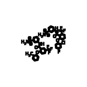 Cc1ccccc1Oc1ccc(C(F)(F)F)cc1C(=O)Nc1cccc(S(N)(=O)=O)c1.NS(=O)(=O)c1cccc(NC(=O)c2c(Oc3ccc(F)cc3Cl)cccc2C(F)(F)F)c1